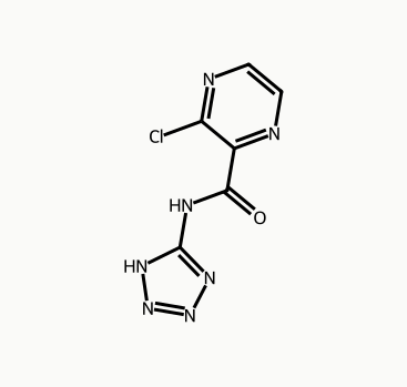 O=C(Nc1nnn[nH]1)c1nccnc1Cl